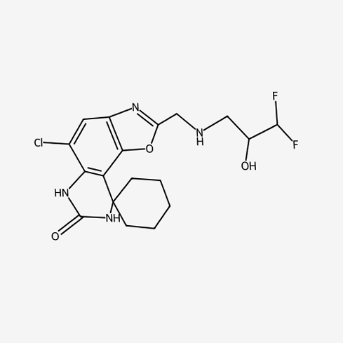 O=C1Nc2c(Cl)cc3nc(CNCC(O)C(F)F)oc3c2C2(CCCCC2)N1